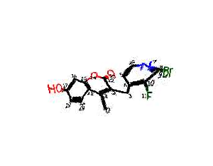 Cc1c(Cc2ccnc(Br)c2F)c(=O)oc2cc(O)ccc12